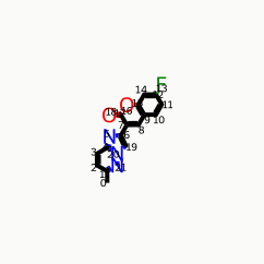 Cc1ccc2nc(-c3cc4ccc(F)cc4oc3=O)cn2n1